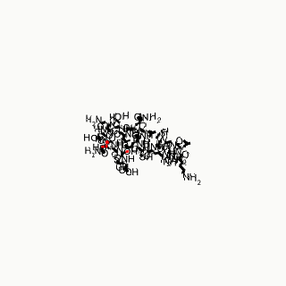 CC[C@H](C)[C@H](NC(=O)[C@H](CCC(N)=O)NC(=O)[C@H](CC(C)C)NC(=O)[C@H](CCC(=O)O)NC(=O)[C@H](CO)NC(=O)[C@H](CCCNC(=N)N)NC(=O)[C@H](CCSC)NC(=O)CNC(=O)[C@H](CC(C)C)NC(=O)[C@@H](N)CCCCN)C(=O)N[C@@H](CC(=O)O)C(=O)N[C@@H](CC(N)=O)C(=O)N[C@@H](CC(=O)O)C(=O)N[C@@H](CCC(N)=O)C(=O)N[C@@H](CC(=O)O)C(=O)N[C@@H](C)C(=O)N[C@@H](CC(=O)O)C(=O)O